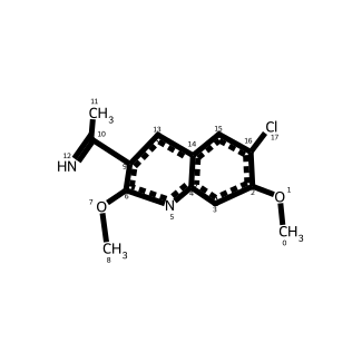 COc1cc2nc(OC)c(C(C)=N)cc2cc1Cl